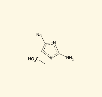 CC(=O)O.Nc1n[c]([Na])cs1